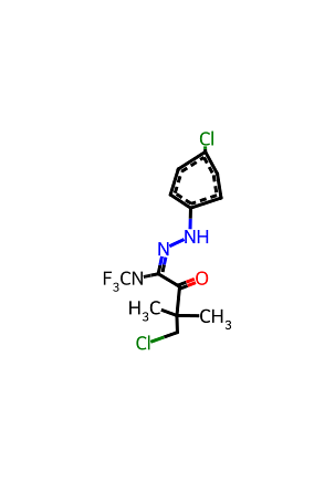 CC(C)(CCl)C(=O)C(=NNc1ccc(Cl)cc1)NC(F)(F)F